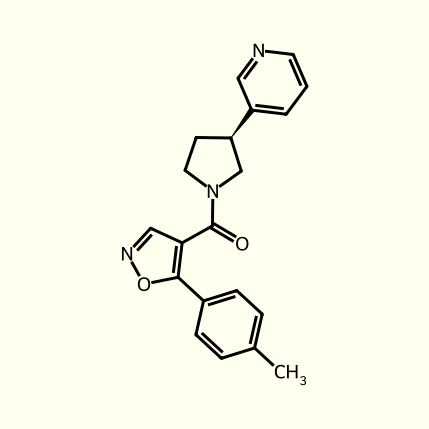 Cc1ccc(-c2oncc2C(=O)N2CC[C@@H](c3cccnc3)C2)cc1